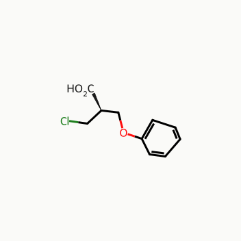 O=C(O)[C@H](CCl)COc1ccccc1